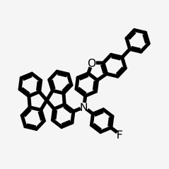 Fc1ccc(N(c2ccc3oc4cc(-c5ccccc5)ccc4c3c2)c2cccc3c2-c2ccccc2C32c3ccccc3-c3ccccc32)cc1